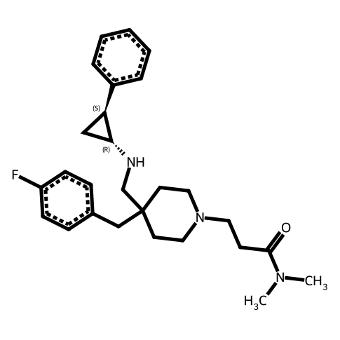 CN(C)C(=O)CCN1CCC(CN[C@@H]2C[C@H]2c2ccccc2)(Cc2ccc(F)cc2)CC1